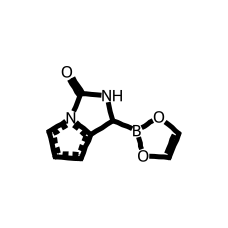 O=C1NC(B2OC=CO2)c2cccn21